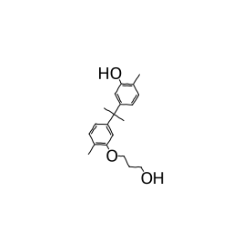 Cc1ccc(C(C)(C)c2ccc(C)c(OCCCO)c2)cc1O